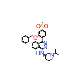 CC(C)N1CCC[C@@H](Nc2nnc(-c3ccc(S(C)(=O)=O)cc3OCc3ccccc3)c3ccccc23)C1